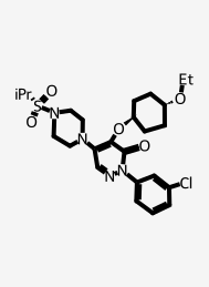 CCO[C@H]1CC[C@H](Oc2c(N3CCN(S(=O)(=O)C(C)C)CC3)cnn(-c3cccc(Cl)c3)c2=O)CC1